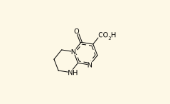 O=C(O)c1cnc2n(c1=O)CCCN2